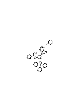 O=C(O[C@H]1[C@H](F)[C@H](n2cnc3c(CCc4ccccc4)ncnc32)O[C@H]1COC(c1ccccc1)(c1ccccc1)c1ccccc1)c1ccccc1